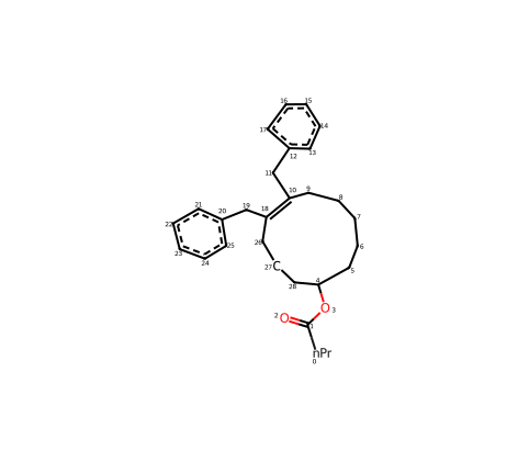 CCCC(=O)OC1CCCCCC(Cc2ccccc2)=C(Cc2ccccc2)CCC1